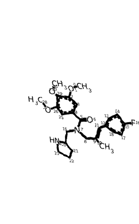 COc1cc(C(=O)N(CC(C)=Cc2ccc(F)cc2)CC2CCCN2)cc(OC)c1OC